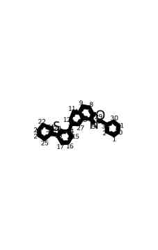 c1ccc(-c2nc3c(ccc4ccc(-c5cccc6c5sc5ccccc56)cc43)o2)cc1